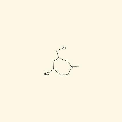 CN1CCN(I)CC(CO)C1